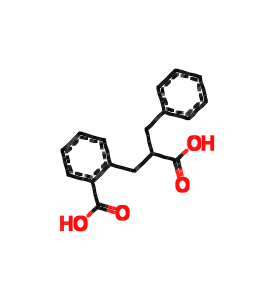 O=C(O)c1ccccc1CC(Cc1ccccc1)C(=O)O